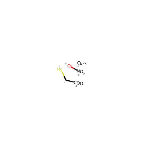 O=C([O-])CS.O=[N+]([O-])[O-].[Cu+2]